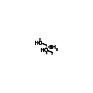 B.CO.CO